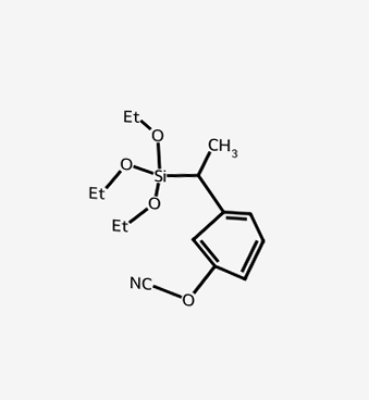 CCO[Si](OCC)(OCC)C(C)c1cccc(OC#N)c1